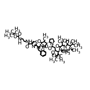 CCC(C)C(C(CC(=O)N1CCC[C@H]1C(OC)C(C)C(=O)NC(Cc1ccccc1)c1nc(C(=O)NCCNC(=O)OC(C)(C)C)cs1)OC)N(C)C(=O)C(NC(=O)C(C(C)C)N(C)C)C(C)C